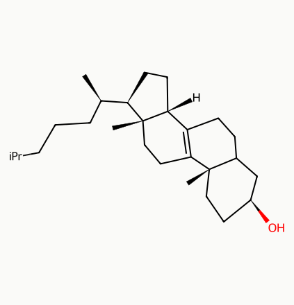 CC(C)CCC[C@@H](C)[C@H]1CC[C@@H]2C3=C(CC[C@@]21C)[C@@]1(C)CC[C@H](O)CC1CC3